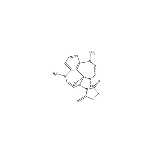 CN1C=CN(C)C2(C#N)c3c1cccc3N(C)C=CN2N1C(=O)CCC1=O